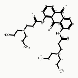 CCCN(CCC)CCC(=O)Nc1cccc2c1C(=O)c1c(NC(=O)CCN(CCC)CCC)cccc1C2=O